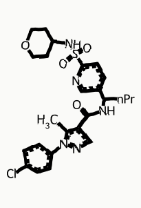 CCCC(NC(=O)c1cnn(-c2ccc(Cl)cc2)c1C)c1ccc(S(=O)(=O)NC2CCOCC2)nc1